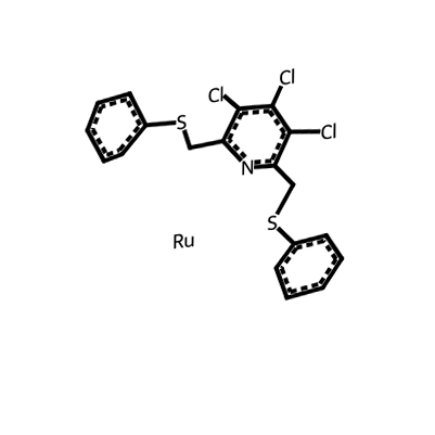 Clc1c(CSc2ccccc2)nc(CSc2ccccc2)c(Cl)c1Cl.[Ru]